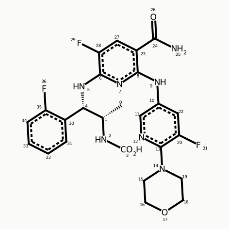 C[C@H](NC(=O)O)[C@@H](Nc1nc(Nc2cnc(N3CCOCC3)c(F)c2)c(C(N)=O)cc1F)c1ccccc1F